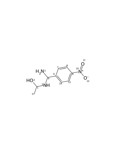 CC(O)NC(N)c1ccc([N+](=O)[O-])cc1